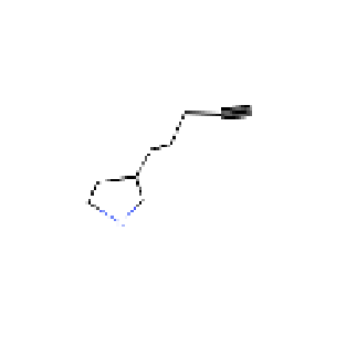 [C]#CCCCC1CCNC1